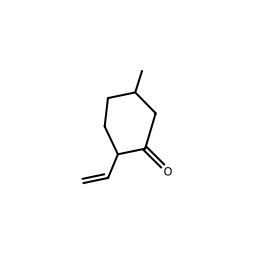 C=CC1CCC(C)CC1=O